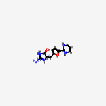 NC1=N/C(=C/c2ccc(-c3ncccn3)o2)C(=O)N1